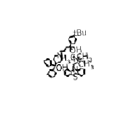 CC(C)(C)c1ccc(C(O)CCCN2CCC(C(O)(c3ccccc3)c3ccccc3)CC2)cc1.CC(CN1c2ccccc2Sc2ccccc21)N(C)C